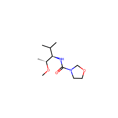 CO[C@H](C)[C@H](NC(=O)N1CCOC1)C(C)C